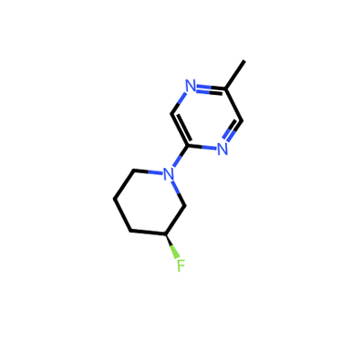 Cc1cnc(N2CCC[C@H](F)C2)cn1